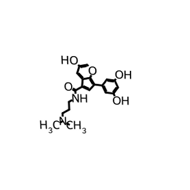 CN(C)CCCNC(=O)c1cc(-c2cc(O)cc(O)c2)c2occ(O)cc1-2